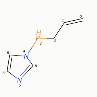 C=CCPn1ccnc1